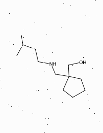 CC(C)CCNCC1(CO)CCCC1